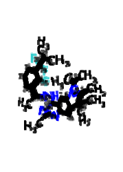 C=C1N(C(C)C)c2cc3c(N[C@H](C)c4cccc(C(F)(F)C(C)C)c4F)nc(C)nc3cc2C1(C)C